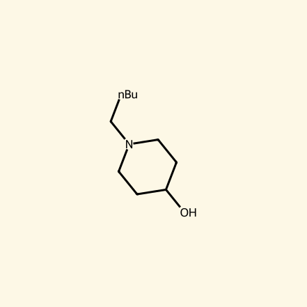 [CH2]CCCCN1CCC(O)CC1